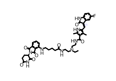 CCN(CCNC(=O)CCCCNc1cccc2c1C(=O)N(C1CCC(=O)NC1=O)C2=O)CCNC(=O)c1c(C)[nH]c(/C=C2\C(=O)Nc3ccc(F)cc32)c1C